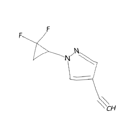 C#Cc1cnn(C2CC2(F)F)c1